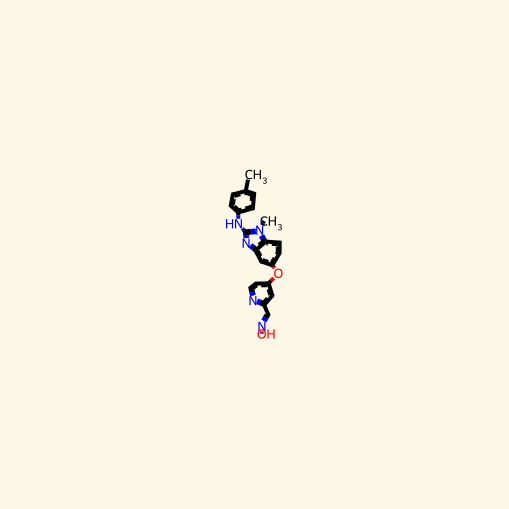 Cc1ccc(Nc2nc3cc(Oc4ccnc(/C=N/O)c4)ccc3n2C)cc1